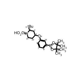 CC(C)(C)C1CC(Oc2cccc(B3OC(C)(C)C(C)(C)O3)c2)CCN1C(=O)O